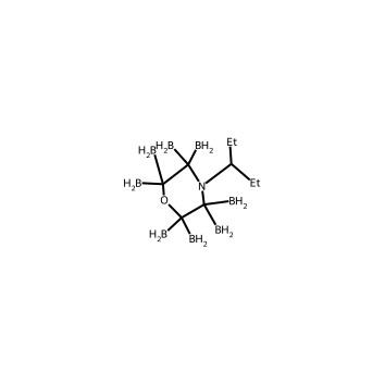 BC1(B)OC(B)(B)C(B)(B)N(C(CC)CC)C1(B)B